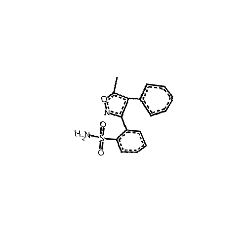 Cc1onc(-c2ccccc2S(N)(=O)=O)c1-c1ccccc1